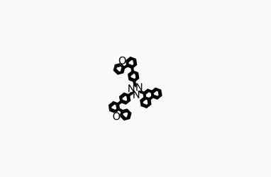 c1ccc2c(c1)cc(-c1nc(-c3ccc(-c4cccc5oc6ccccc6c45)cc3)nc(-c3ccc(-c4cccc5oc6ccccc6c45)cc3)n1)c1ccccc12